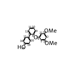 COc1cc(OC)cc(Oc2ccccc2-c2ccc(O)cc2)c1